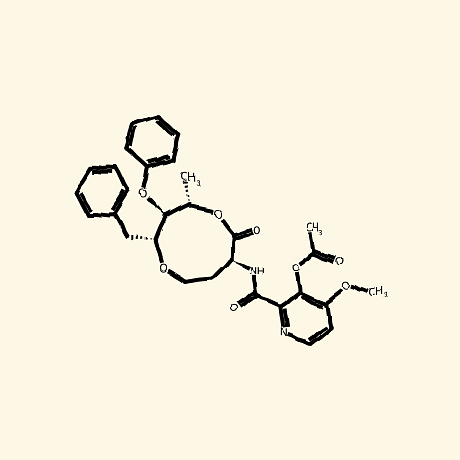 COc1ccnc(C(=O)N[C@H]2CCO[C@H](Cc3ccccc3)[C@@H](Oc3ccccc3)[C@H](C)OC2=O)c1OC(C)=O